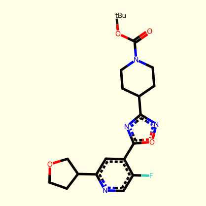 CC(C)(C)OC(=O)N1CCC(c2noc(-c3cc(C4CCOC4)ncc3F)n2)CC1